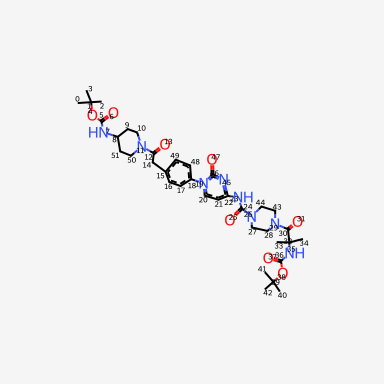 CC(C)(C)OC(=O)NC1CCN(C(=O)Cc2ccc(-n3ccc(NC(=O)N4CCN(C(=O)C(C)(C)NC(=O)OC(C)(C)C)CC4)nc3=O)cc2)CC1